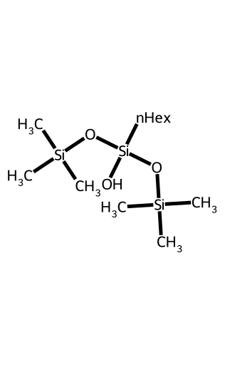 CCCCCC[Si](O)(O[Si](C)(C)C)O[Si](C)(C)C